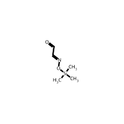 C[Si](C)(C)ON=CC=O